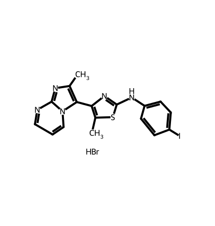 Br.Cc1nc2ncccn2c1-c1nc(Nc2ccc(I)cc2)sc1C